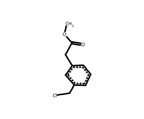 COC(=O)Cc1cccc(CCl)c1